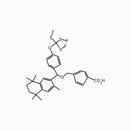 Cc1cc2c(cc1C(OCc1ccc(C(=O)O)cc1)c1ccc(OC(SF)(SF)SF)cc1)C(C)(C)CCC2(C)C